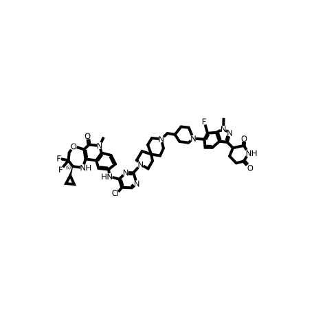 Cn1nc(C2CCC(=O)NC2=O)c2ccc(N3CCC(CN4CCC5(CC4)CCN(c4ncc(Cl)c(Nc6ccc7c(c6)c6c(c(=O)n7C)OCC(F)(F)[C@H](C7CC7)N6)n4)CC5)CC3)c(F)c21